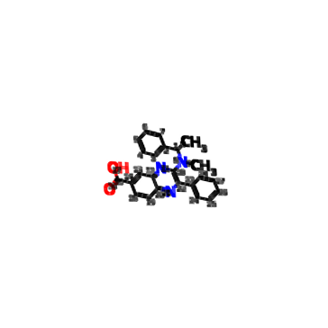 CC(c1ccccc1)N(C)c1nc2cc(C(=O)O)ccc2nc1-c1ccccc1